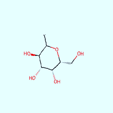 [CH2]C1O[C@H](CO)[C@H](O)[C@H](O)[C@H]1O